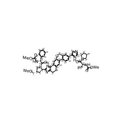 COC[C@H]1CC(c2nc3c([nH]2)-c2cc4c(cc2CC3)-c2ccc(-c3cnc([C@@H]5CCCN5C(=O)[C@@H](NC(=O)OC)C(C)C)[nH]3)cc2CO4)N(C(=O)[C@H](NC(=O)OC)c2ccccc2)C1